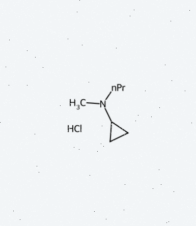 CCCN(C)C1CC1.Cl